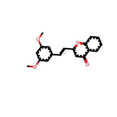 COc1cc(/C=C/c2cc(=O)c3ccccc3o2)cc(OC)c1